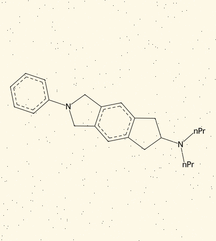 CCCN(CCC)C1Cc2cc3c(cc2C1)CN(c1ccccc1)C3